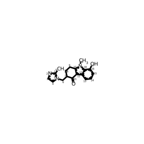 Cc1nccn1CC1CCc2c(c3cccc(O)c3n2C)C1=O